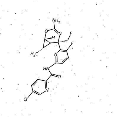 C[C@H]1C2[C@H]1OC(N)=N[C@@]2(CF)c1nc(NC(=O)c2ccc(Cl)cn2)ccc1F